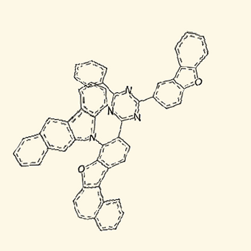 c1ccc(-c2nc(-c3ccc4oc5ccccc5c4c3)nc(-c3ccc4c(oc5ccc6ccccc6c54)c3-n3c4ccccc4c4cc5ccccc5cc43)n2)cc1